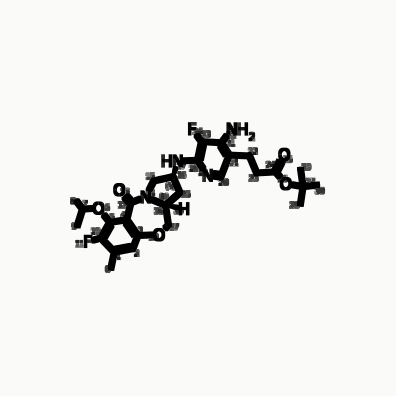 Cc1cc2c(c(OC(C)C)c1F)C(=O)N1C[C@@H](Nc3ncc(CCC(=O)OC(C)(C)C)c(N)c3F)C[C@@H]1CO2